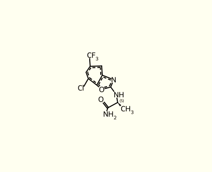 C[C@H](Nc1nc2cc(C(F)(F)F)cc(Cl)c2o1)C(N)=O